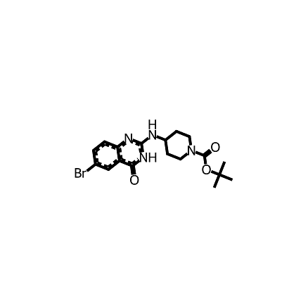 CC(C)(C)OC(=O)N1CCC(Nc2nc3ccc(Br)cc3c(=O)[nH]2)CC1